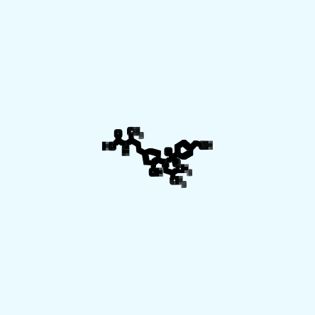 CC(C)CN(c1ccc(CCC(C)NC(=O)O)cc1O)S(=O)(=O)c1ccc(CO)cc1